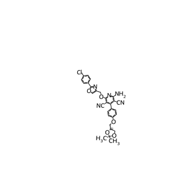 CC1(C)OC[C@H](COc2ccc(-c3c(C#N)c(N)nc(OCc4coc(-c5ccc(Cl)cc5)n4)c3C#N)cc2)O1